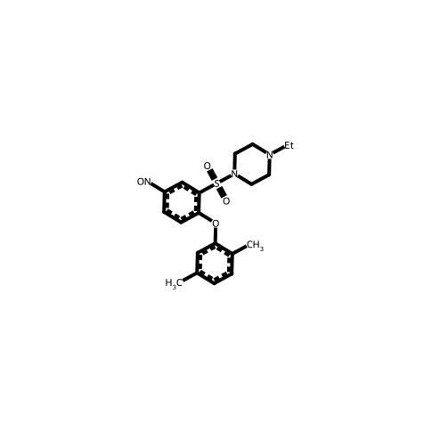 CCN1CCN(S(=O)(=O)c2cc(N=O)ccc2Oc2cc(C)ccc2C)CC1